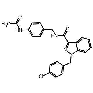 CC(=O)Nc1ccc(CNC(=O)c2nn(Cc3ccc(Cl)cc3)c3ccccc23)cc1